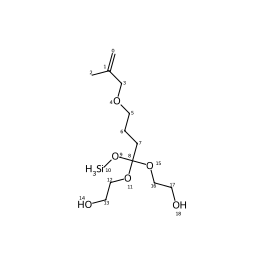 C=C(C)COCCCC(O[SiH3])(OCCO)OCCO